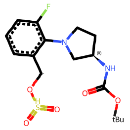 CC(C)(C)OC(=O)N[C@@H]1CCN(c2c(F)cccc2[CH]O[SH](=O)=O)C1